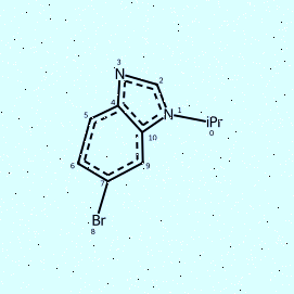 CC(C)n1cnc2ccc(Br)cc21